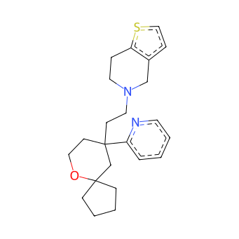 c1ccc(C2(CCN3CCc4sccc4C3)CCOC3(CCCC3)C2)nc1